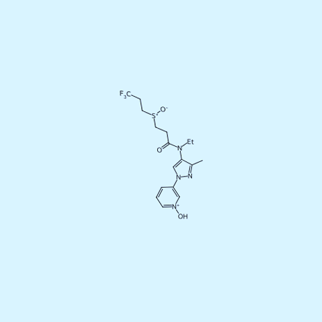 CCN(C(=O)CC[S+]([O-])CCC(F)(F)F)c1cn(-c2ccc[n+](O)c2)nc1C